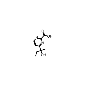 CCC(C)(O)c1ccnc(C(=O)O)n1